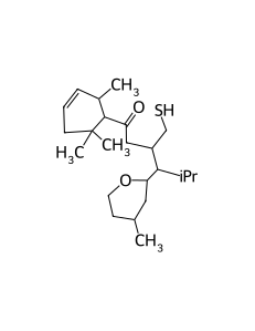 CC1CCOC(C(C(C)C)C(CS)CC(=O)C2C(C)C=CCC2(C)C)C1